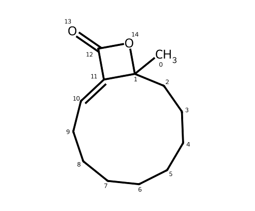 CC12CCCCCCCC/C=C\1C(=O)O2